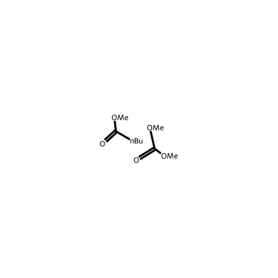 CCCCC(=O)OC.COC(=O)OC